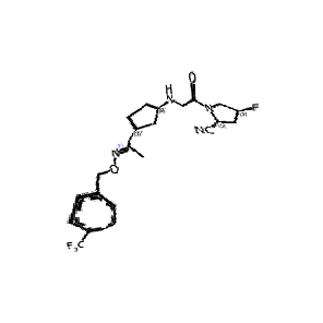 C/C(=N\OCc1ccc(C(F)(F)F)cc1)[C@H]1CC[C@@H](NCC(=O)N2C[C@@H](F)C[C@H]2C#N)C1